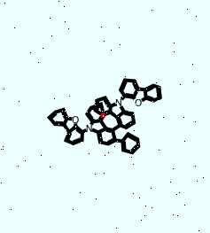 c1ccc(-c2ccc3c(c2-c2cccc4c2c2ccccc2n4-c2cccc4c2oc2ccccc24)c2ccccc2n3-c2cccc3c2oc2ccccc23)cc1